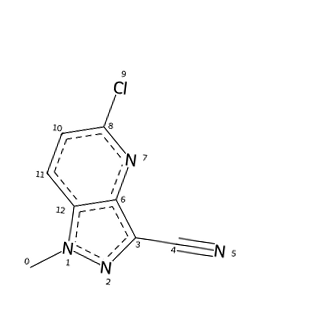 Cn1nc(C#N)c2nc(Cl)ccc21